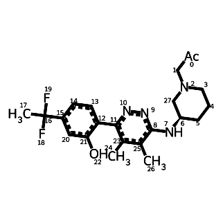 CC(=O)CN1CCC[C@@H](Nc2nnc(-c3ccc(C(C)(F)F)cc3O)c(C)c2C)C1